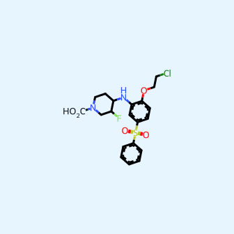 O=C(O)N1CCC(Nc2cc(S(=O)(=O)c3ccccc3)ccc2OCCCl)C(F)C1